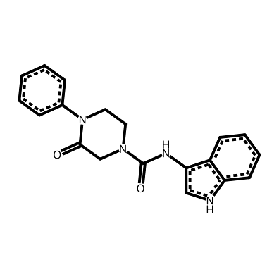 O=C(Nc1c[nH]c2ccccc12)N1CCN(c2ccccc2)C(=O)C1